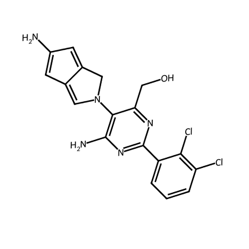 NC1=CC2=CN(c3c(N)nc(-c4cccc(Cl)c4Cl)nc3CO)CC2=C1